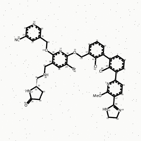 COc1nc(-c2cccc(-c3cccc(COc4nc(OCc5cncc(C#N)c5)c(CNC[C@@H]5CCC(=O)N5)cc4Br)c3Cl)c2Cl)ccc1C1=NCCN1